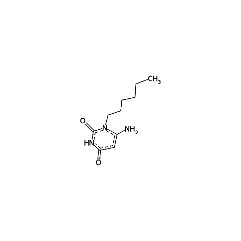 CCCCCCn1c(N)cc(=O)[nH]c1=O